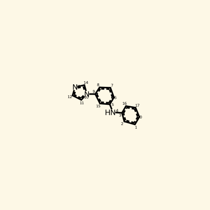 c1ccc(Nc2cccc(-n3ccnc3)c2)cc1